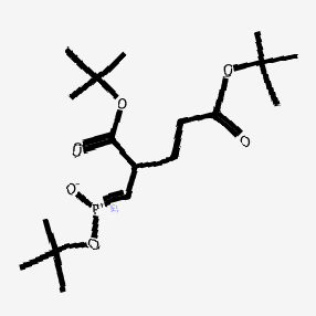 CC(C)(C)OC(=O)CCC(/C=[P+](\[O-])OC(C)(C)C)C(=O)OC(C)(C)C